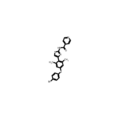 Cc1cc(Sc2ccc(Br)cc2)cc(C)c1-c1csc(NC(=O)c2ccncc2)n1